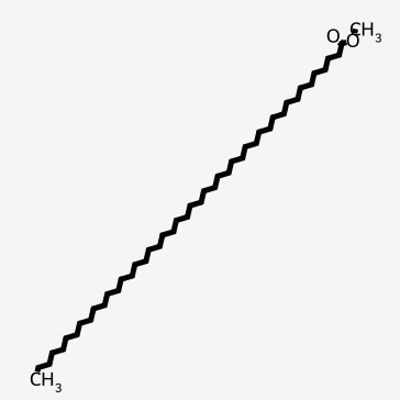 CCCCCCCCCCCCCCCCCCCCCCCCCCCCCCCCCCCCCCCCCCCCCC(=O)OC